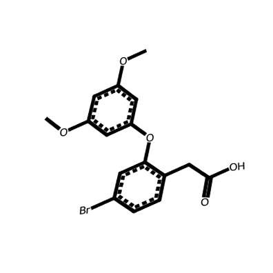 COc1cc(OC)cc(Oc2cc(Br)ccc2CC(=O)O)c1